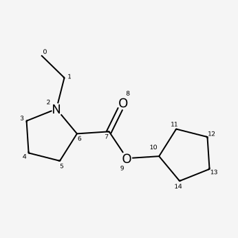 CCN1CCCC1C(=O)OC1CCCC1